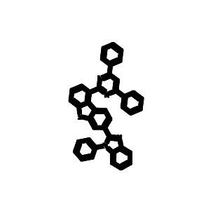 c1ccc(-c2cc(-c3ccccc3)nc(-c3cccc4sc5cc(-c6nc7ccccc7n6-c6ccccc6)ccc5c34)n2)cc1